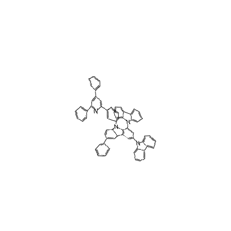 C1=CC2C(C=C1c1ccccc1)c1cc(-n3c4ccccc4c4ccccc43)cc(-n3c4ccccc4c4ccccc43)c1N2c1cccc(-c2cc(-c3ccccc3)cc(-c3ccccc3)n2)c1